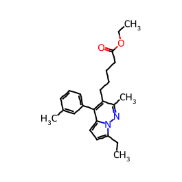 CCOC(=O)CCCCc1c(C)nn2c(CC)ccc2c1-c1cccc(C)c1